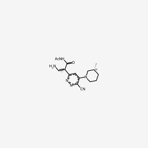 CC(=O)NC(=O)/C(=C\N)c1cc(N2CCC[C@@H](C)C2)c(C#N)nn1